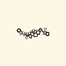 CC12Cc3cnn(-c4nc5ccccc5[nH]4)c3C=C1CCC1C2[C@@H](O)CC2(C)C1CC[C@]2(O)C(=O)CSc1nc2ccccc2s1